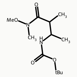 CON(C)C(=O)C(C)C(C)NC(=O)OC(C)(C)C